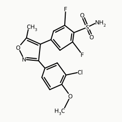 COc1ccc(-c2noc(C)c2-c2cc(F)c(S(N)(=O)=O)c(F)c2)cc1Cl